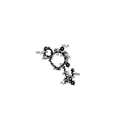 CN[C@@H](Cc1ccsc1)C(=O)N[C@@H](Cc1csc2ccccc12)C(=O)N[C@@H](CCC(=O)NCCCC[C@@H]1NC(=O)[C@H](Cc2ccccc2)NC(=O)[C@H](C)NC(=O)C(C)(C)NC(=O)[C@H](Cc2cccc(C(=O)O)c2)NC(=O)[C@H](CC(=O)O)NC(=O)[C@@]2(CCC/C=C\C[C@]3(CCCN3C(C)=O)C(=O)N[C@@H](CC(=O)O)C(=O)N[C@@H](CC(C)(C)C)C(O)N2)CCC/C=C/CCCOC(=O)N2CC[C@@H](C2)NC1=O)C(=O)N[C@@H](C)C(N)=O